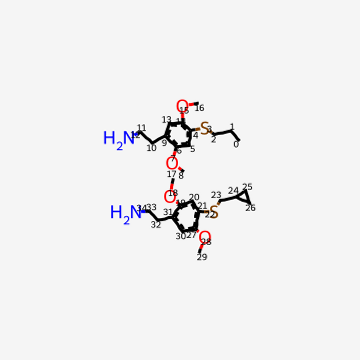 CCCSc1cc(OC)c(CCN)cc1OC.COc1cc(SCC2CC2)c(OC)cc1CCN